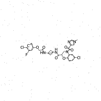 Cn1cnc(S(=O)(=O)N2CC(C(=O)NC34CC(NC(=O)COc5ccc(Cl)c(F)c5)(C3)C4)Oc3ccc(Cl)cc32)c1